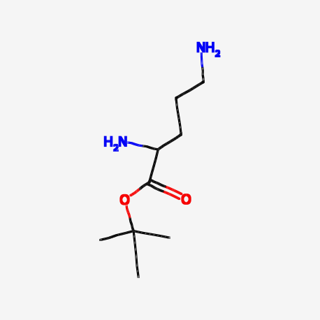 CC(C)(C)OC(=O)C(N)CCCN